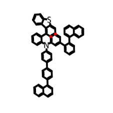 c1cc(-c2ccccc2-c2cccc3ccccc23)cc(N(c2ccc(-c3ccc(-c4cccc5ccccc45)cc3)cc2)c2ccccc2-c2cccc3sc4ccccc4c23)c1